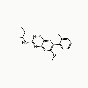 CCC(C)Nc1ncc2cc(-c3ccccc3C)c(OC)cc2n1